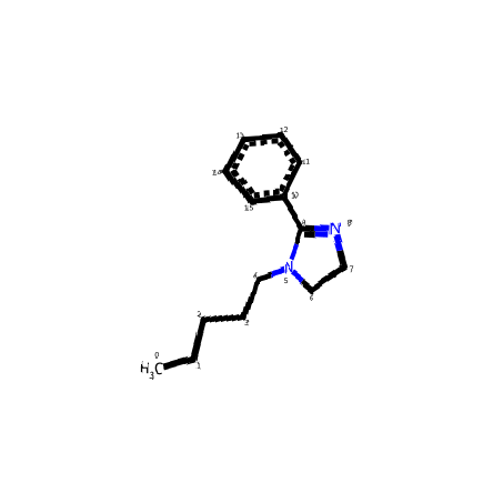 CCCCCN1CCN=C1c1ccccc1